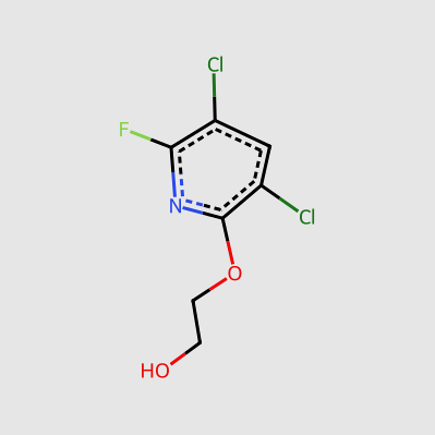 OCCOc1nc(F)c(Cl)cc1Cl